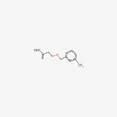 C=C(C=O)CCOCc1cccc(C(F)(F)F)c1